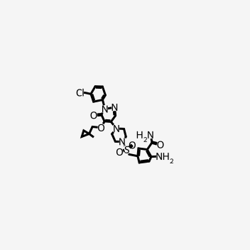 CC1(COc2c(N3CCN(S(=O)(=O)Cc4ccc(N)c(C(N)=O)c4)CC3)cnn(-c3cccc(Cl)c3)c2=O)CC1